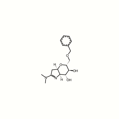 CN(C)C1=N[C@@H]2[C@@H](O)[C@H](O)[C@@H](COCc3ccccc3)O[C@@H]2C1